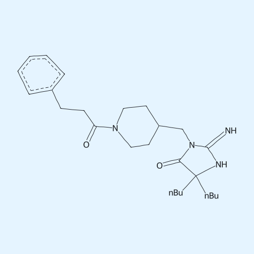 CCCCC1(CCCC)NC(=N)N(CC2CCN(C(=O)CCc3ccccc3)CC2)C1=O